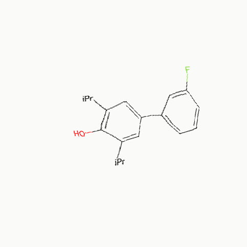 CC(C)c1cc(-c2cccc(F)c2)cc(C(C)C)c1O